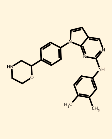 Cc1ccc(Nc2ncc3ccn(-c4ccc(C5CNCCO5)cc4)c3n2)cc1C